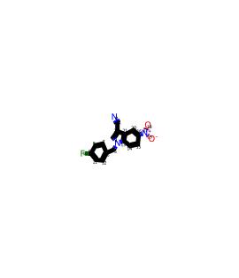 N#Cc1cn(Cc2ccc(F)cc2)c2ccc([N+](=O)[O-])cc12